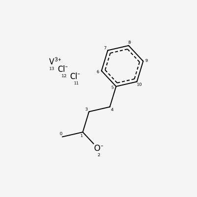 CC([O-])CCc1ccccc1.[Cl-].[Cl-].[V+3]